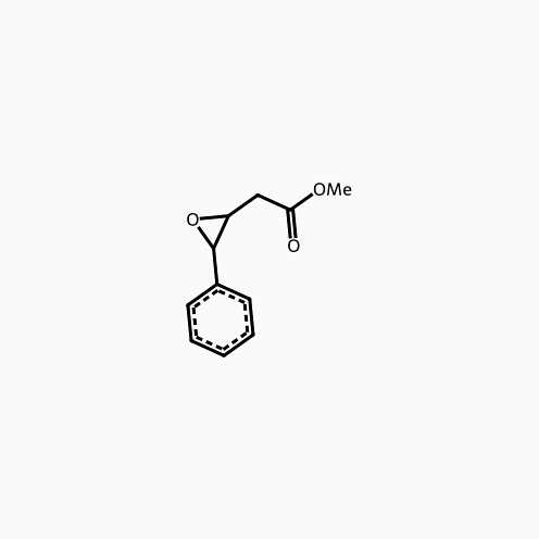 COC(=O)CC1OC1c1ccccc1